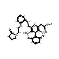 COC(=O)CC1=C(C(=O)O)C(c2c(Cl)cccc2Cl)C(C(=O)O)=C(CCc2ccccc2OCCN2CCCC2=O)N1